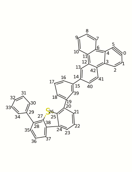 c1ccc2c(c#1)c1ccccc1c1cc(-c3cccc(-c4cccc5c4sc4c(-c6ccccc6)cccc45)c3)ccc21